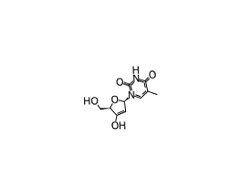 Cc1cn([C@H]2C=C(O)[C@@H](CO)O2)c(=O)[nH]c1=O